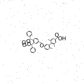 Cc1ccc(OCc2ccc(C(OC=O)c3ccccc3)c(C(OC=O)c3ccccc3)c2)cc1-c1c(C)cc(C(=O)O)cc1C